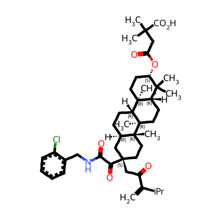 C=C(C(=O)C[C@]1(C(=O)C(=O)NCc2ccccc2Cl)CC[C@]2(C)[C@H](CC[C@@H]3[C@@]4(C)CC[C@H](OC(=O)CC(C)(C)C(=O)O)C(C)(C)[C@@H]4CC[C@]32C)C1)C(C)C